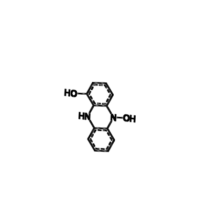 Oc1cccc2c1Nc1ccccc1N2O